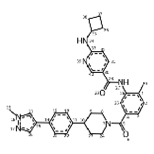 Cc1ccc(C(=O)N2CCC(c3ccc(-c4cnn(C)c4)cc3)CC2)cc1NC(=O)c1ccc(NC2CCC2)nc1